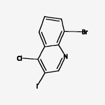 Clc1c(I)cnc2c(Br)cccc12